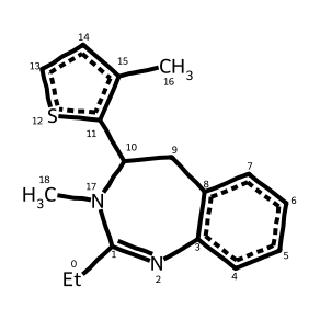 CCC1=Nc2ccccc2CC(c2sccc2C)N1C